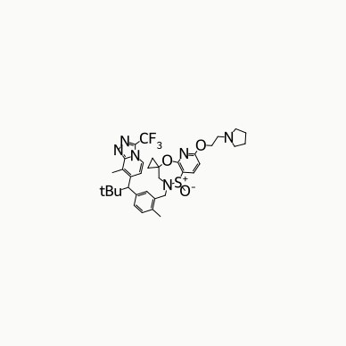 Cc1ccc(C(c2ccn3c(C(F)(F)F)nnc3c2C)C(C)(C)C)cc1CN1CC2(CC2)Oc2nc(OCCN3CCCC3)ccc2[S+]1[O-]